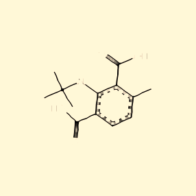 Cc1ccc(C(=O)O)c(NC(C)(C)C)c1C(=O)O